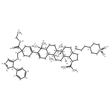 C=C(C)[C@@H]1CC[C@]2(NCCN3CCS(=O)(=O)CC3)CC[C@]3(C)[C@H](CCC4[C@@]5(C)CC=C(C6=CCC(COc7cnnn7-c7ccccc7)(C(=O)OCC)CC6)C(C)(C)C5CC[C@]43C)C12